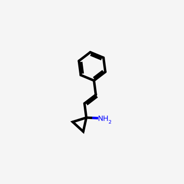 NC1(/C=C/c2ccccc2)CC1